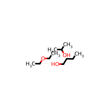 CC(C)O.CCCCO.CCOCC